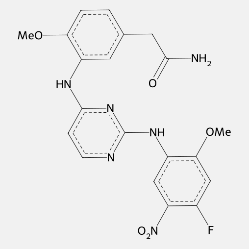 COc1ccc(CC(N)=O)cc1Nc1ccnc(Nc2cc([N+](=O)[O-])c(F)cc2OC)n1